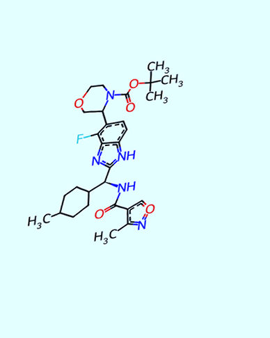 Cc1nocc1C(=O)N[C@H](c1nc2c(F)c(C3COCCN3C(=O)OC(C)(C)C)ccc2[nH]1)C1CCC(C)CC1